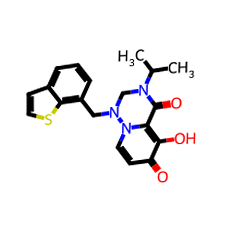 CC(C)N1CN(Cc2cccc3ccsc23)n2ccc(=O)c(O)c2C1=O